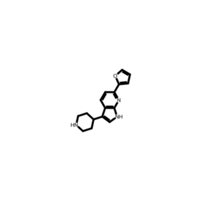 c1coc(-c2ccc3c(C4CCNCC4)c[nH]c3n2)c1